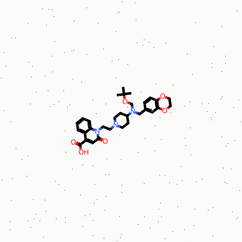 CC(C)(C)OCN(Cc1ccc2c(c1)OCCO2)C1CCN(CCn2c(=O)cc(C(=O)O)c3ccccc32)CC1